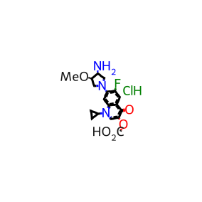 CO[C@@H]1CN(c2cc3c(cc2F)c(=O)c(OC(=O)O)cn3C2CC2)C[C@@H]1N.Cl